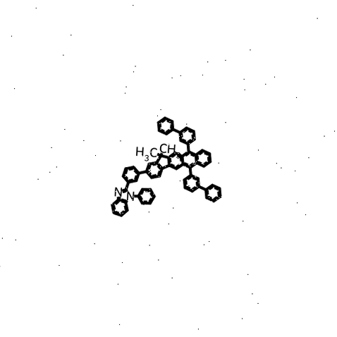 CC1(C)c2cc(-c3cccc(-c4nc5ccccc5n4-c4ccccc4)c3)ccc2-c2cc3c(-c4cccc(-c5ccccc5)c4)c4ccccc4c(-c4cccc(-c5ccccc5)c4)c3cc21